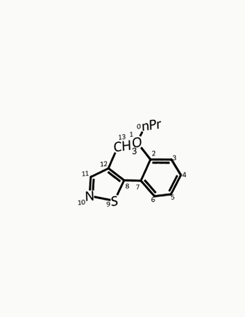 CCCOc1ccccc1-c1sncc1C